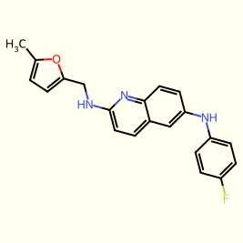 Cc1ccc(CNc2ccc3cc(Nc4ccc(F)cc4)ccc3n2)o1